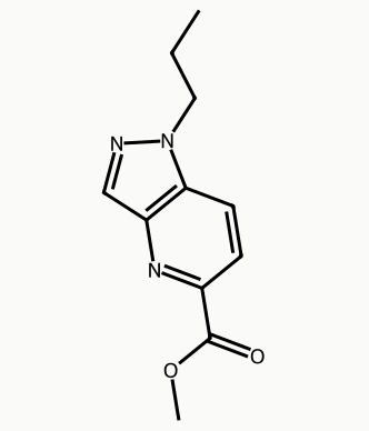 CCCn1ncc2nc(C(=O)OC)ccc21